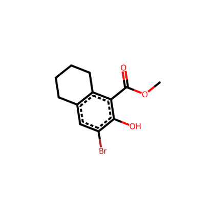 COC(=O)c1c(O)c(Br)cc2c1CCCC2